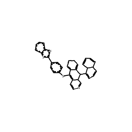 C1=CC2C=CC=C(C3C4=CCCC=C4C(Sc4ccc(-c5nc6ccccc6s5)cc4)=C4C=CN=CC43)C2C=C1